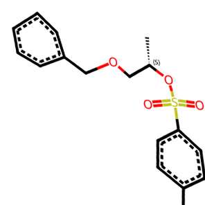 Cc1ccc(S(=O)(=O)O[C@@H](C)COCc2ccccc2)cc1